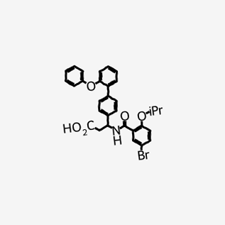 CC(C)Oc1ccc(Br)cc1C(=O)NC(CC(=O)O)c1ccc(-c2ccccc2Oc2ccccc2)cc1